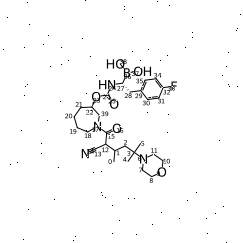 CC(CC(C)(C)N1CCOCC1)C(C#N)C(=O)N1CCCC[C@@H](OC(=O)N[C@@H](Cc2ccc(F)cc2)B(O)O)C1